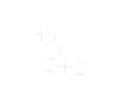 CCCCC1(O)CCN(CCCC(C#N)(c2ccccc2)c2ccccc2)CC1